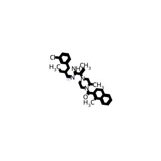 CC=C(C(=N)/N=C\C(CC)Cc1cccc(Cl)c1)N1CCN(C(=O)C2=C(C)c3ccccc3CC2)C(C)C1